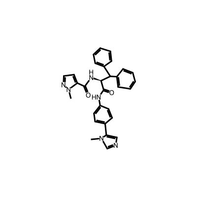 Cn1cncc1-c1ccc(NC(=O)[C@@H](NC(=O)c2ccnn2C)C(c2ccccc2)c2ccccc2)cc1